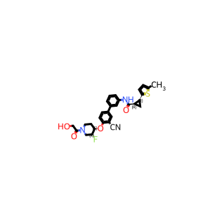 Cc1ccc([C@@H]2C[C@H]2C(=O)Nc2cccc(-c3ccc(O[C@H]4CCN(C(=O)CO)C[C@H]4F)c(C#N)c3)c2)s1